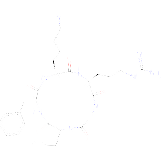 N=C(N)NCCC[C@@H]1NC(=O)[C@H](CCCCN)NC(=O)[C@@H](Cc2ccccc2)NC(=O)C(CC(=O)O)NC(=O)CNC1=O